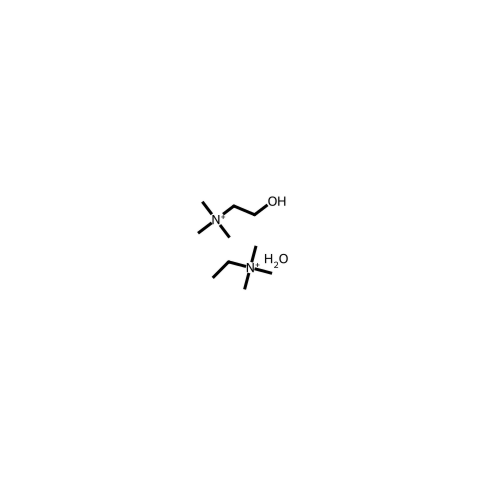 CC[N+](C)(C)C.C[N+](C)(C)CCO.O